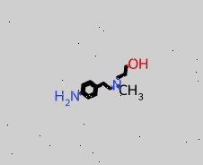 CN(CCCO)CCc1ccc(N)cc1